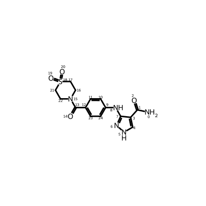 NC(=O)c1c[nH]nc1Nc1ccc(C(=O)N2CCS(=O)(=O)CC2)cc1